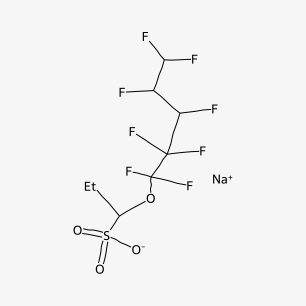 CCC(OC(F)(F)C(F)(F)C(F)C(F)C(F)F)S(=O)(=O)[O-].[Na+]